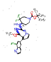 COc1nc(N[C@@H]2CCN(C(=O)OC(C)(C)C)CC2(F)F)nn2ccc(-c3cc(F)c4ncccc4c3)c12